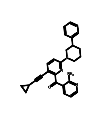 Nc1ncccc1C(=O)c1nc(N2CCCC(c3ccccc3)C2)ccc1C#CC1CC1